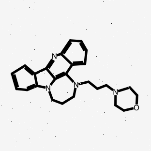 c1ccc2c3c4c(nc2c1)c1ccccc1n4CCCN3CCCN1CCOCC1